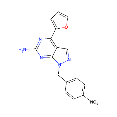 Nc1nc(-c2ccco2)c2cnn(Cc3ccc([N+](=O)[O-])cc3)c2n1